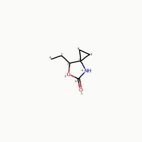 CCC1OC(=O)NC12CC2